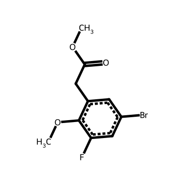 COC(=O)Cc1cc(Br)cc(F)c1OC